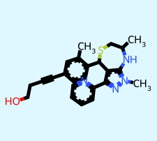 Cc1cc(C#CCCO)ccc1C1SCC(C)Nc2c1c(-c1ccccn1)nn2C